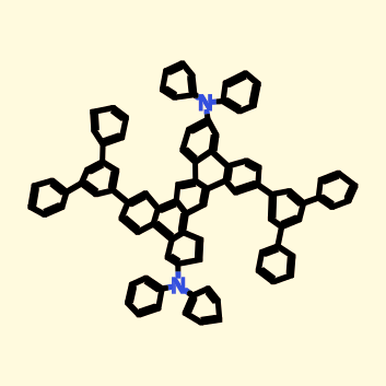 c1ccc(-c2cc(-c3ccccc3)cc(-c3ccc4c(c3)c3cc5c6ccc(N(c7ccccc7)c7ccccc7)cc6c6ccc(-c7cc(-c8ccccc8)cc(-c8ccccc8)c7)cc6c5cc3c3ccc(N(c5ccccc5)c5ccccc5)cc43)c2)cc1